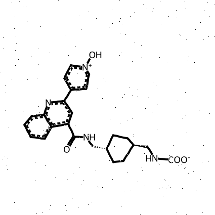 O=C([O-])NC[C@H]1CC[C@H](CNC(=O)c2cc(-c3cc[n+](O)cc3)nc3ccccc23)CC1